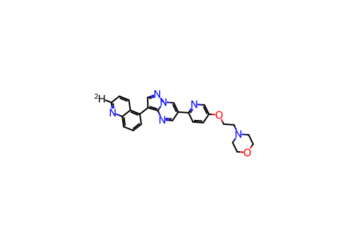 [2H]c1ccc2c(-c3cnn4cc(-c5ccc(OCCN6CCOCC6)cn5)cnc34)cccc2n1